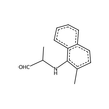 Cc1ccc2ccccc2c1NC(C)[C]=O